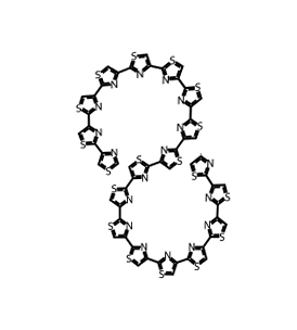 [c]1csc(-c2csc(-c3csc(-c4csc(-c5csc(-c6csc(-c7csc(-c8csc(-c9csc(-c%10csc(-c%11csc(-c%12csc(-c%13csc(-c%14csc(-c%15csc(-c%16csc(-c%17csc(-c%18cscn%18)n%17)n%16)n%15)n%14)n%13)n%12)n%11)n%10)n9)n8)n7)n6)n5)n4)n3)n2)n1